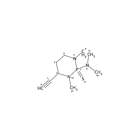 C#CC1CCN(C)P(=S)(N(C)C)N1C